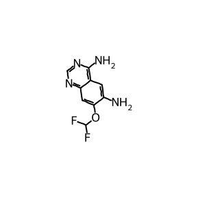 Nc1cc2c(N)ncnc2cc1OC(F)F